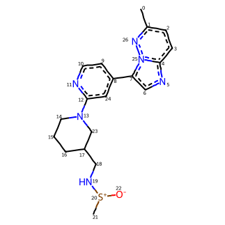 Cc1ccc2ncc(-c3ccnc(N4CCCC(CN[S+](C)[O-])C4)c3)n2n1